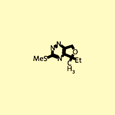 CCC1(C)OCc2nnc(SC)nc21